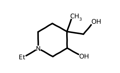 CCN1CCC(C)(CO)C(O)C1